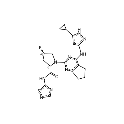 O=C(Nc1ncns1)[C@@H]1C[C@@H](F)CN1c1nc2c(c(Nc3cc(C4CC4)[nH]n3)n1)CCC2